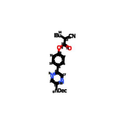 CCCCCCCCCCc1cnc(-c2ccc(OC(=O)C(C#N)C(C)CC)cc2)cn1